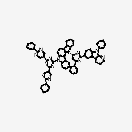 c1ccc(-c2cc(-n3c4ccccc4c4ccc5c(c6ccccc6n5-c5nc(-c6cnc(-c7ccccc7)nc6)nc(-c6cnc(-c7ccccc7)nc6)n5)c43)nc(-c3ccc4c(c3)c3cccnc3n4-c3ccccc3)n2)cc1